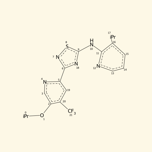 CC(C)Oc1cnc(-c2nsc(Nc3ncccc3C(C)C)n2)cc1C(F)(F)F